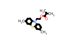 C=C(C)C(=O)OCCN1c2ccc(C)cc2Sc2cc(C)ccc21